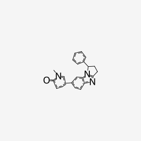 Cn1cc(-c2ccc3nc4n(c3c2)C(c2ccccc2)CC4)ccc1=O